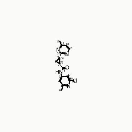 Cc1cc(NC(=O)[C@H]2C[C@@H]2c2nccc(C)n2)cc(Cl)n1